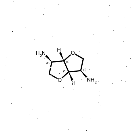 N[C@@H]1CO[C@@H]2[C@H]1OC[C@H]2N